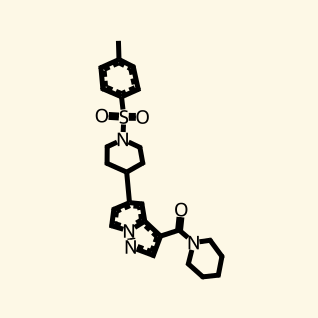 Cc1ccc(S(=O)(=O)N2CCC(c3ccn4ncc(C(=O)N5CCCCC5)c4c3)CC2)cc1